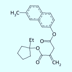 C=C(CC(=O)Oc1ccc2ccc(C)cc2c1)C(=O)OC1(CC)CCCC1